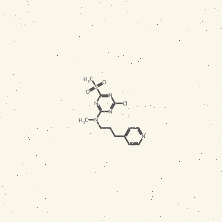 CN(CCCc1ccncc1)c1nc(Cl)nc(S(C)(=O)=O)n1